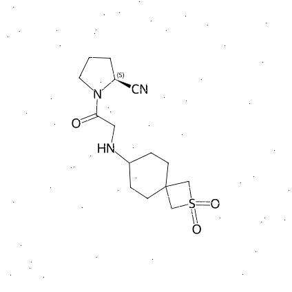 N#C[C@@H]1CCCN1C(=O)CNC1CCC2(CC1)CS(=O)(=O)C2